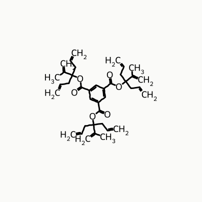 C=CCC(CC=C)(OC(=O)c1cc(C(=O)OC(CC=C)(CC=C)C(=C)C)cc(C(=O)OC(CC=C)(CC=C)C(=C)C)c1)C(=C)C